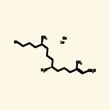 C/C(=C\C(=O)O)CCC[C@H](C)CCC[C@H](C)CCCC(C)C.[Ce].[La]